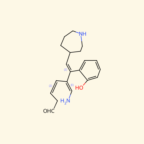 N/C=C(\C=C/CC=O)C(=C/C1CCCNCC1)/c1ccccc1O